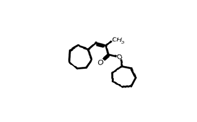 CC(=CC1CCCCCC1)C(=O)OC1CCCCCC1